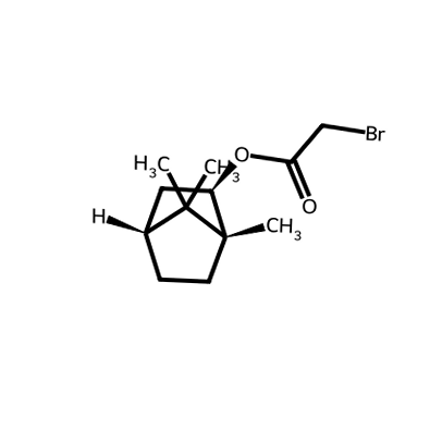 CC1(C)[C@@H]2CC[C@@]1(C)[C@H](OC(=O)CBr)C2